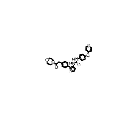 O=C(Nc1ccc(Oc2ccncc2)cc1)Nc1ccnn1-c1ccc(CC(=O)N2CCOCC2)cc1